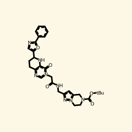 CC(C)(C)OC(=O)N1CCn2nc(CNC(=O)Cn3cnc4c(c3=O)NC(c3cnc(-c5ccccc5)o3)CC4)cc2C1